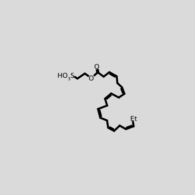 CC/C=C\C/C=C\C/C=C\C/C=C\C/C=C\C/C=C\CC(=O)OCCS(=O)(=O)O